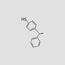 C[C@@H](c1ccccc1)c1ccc(S)cc1